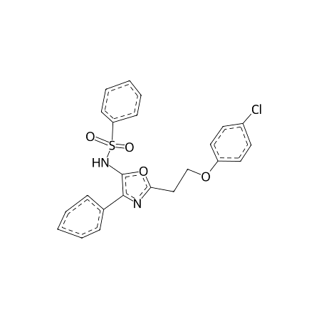 O=S(=O)(Nc1oc(CCOc2ccc(Cl)cc2)nc1-c1ccccc1)c1ccccc1